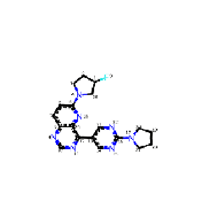 FC1CCN(c2ccc3ncnc(-c4cnc(N5CCCC5)nc4)c3n2)C1